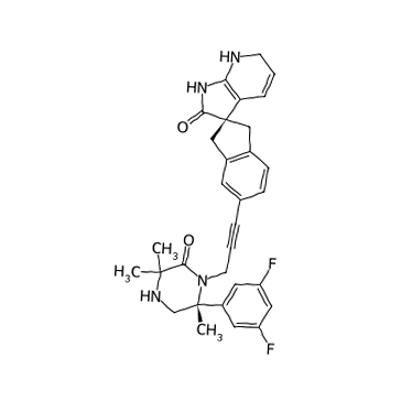 CC1(C)NC[C@@](C)(c2cc(F)cc(F)c2)N(CC#Cc2ccc3c(c2)C[C@@]2(C3)C(=O)NC3=C2C=CCN3)C1=O